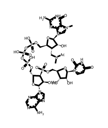 CO[C@@H]1[C@H](P(=O)([O-])OC[C@H]2O[C@@H](n3ccc(=O)[nH]c3=O)[C@H](O)[C@@H]2O)[C@@H](COP(=O)(O)OP(=O)(O)OP(=O)(O)OC[C@H]2O[C@@H](n3c[n+](C)c4c(=O)[nH]c(N)nc43)[C@H](O)[C@@H]2CN(C)C(C)=O)O[C@H]1n1cnc2c(N)ncnc21